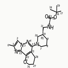 Cc1cn2nc(N3CCC[C@H](CNC(=O)OC(C)(C)C)C3)c3c(c2n1)OCCC3